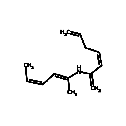 C=CC/C=C\C(=C)N/C(C)=C/C=C\C